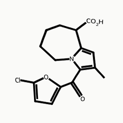 Cc1cc2n(c1C(=O)c1ccc(Cl)o1)CCCCC2C(=O)O